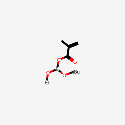 C=C(C)C(=O)OB(OCC)OC(C)[CH]C